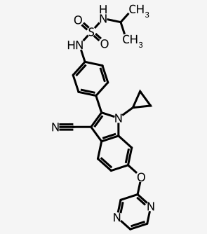 CC(C)NS(=O)(=O)Nc1ccc(-c2c(C#N)c3ccc(Oc4cnccn4)cc3n2C2CC2)cc1